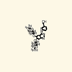 [2H]C([2H])([2H])OC([2H])([2H])C([2H])([2H])Oc1cc2ncnc(Nc3cccc(C#C)c3)c2cc1OC([2H])([2H])C([2H])([2H])OC([2H])([2H])[2H]